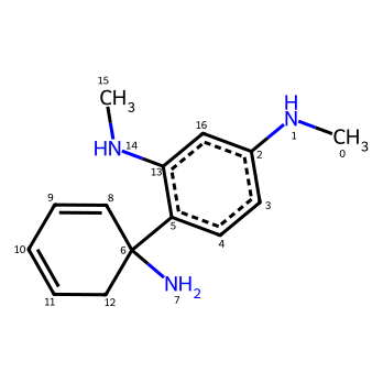 CNc1ccc(C2(N)C=CC=CC2)c(NC)c1